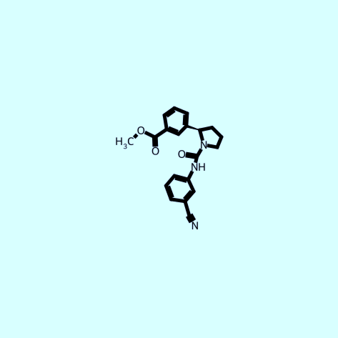 COC(=O)c1cccc([C@H]2CCCN2C(=O)Nc2cccc(C#N)c2)c1